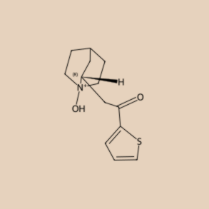 O=C(C[C@H]1CC2CC[N+]1(O)CC2)c1cccs1